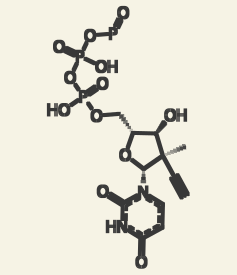 C#C[C@]1(C)[C@H](O)[C@@H](COP(=O)(O)OP(=O)(O)OP=O)O[C@H]1n1ccc(=O)[nH]c1=O